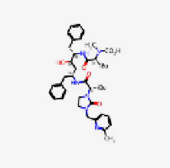 CCC(C)[C@@H](C(=O)N[C@@H](Cc1ccccc1)[C@H](O)C[C@H](Cc1ccccc1)NC(=O)[C@H](C(C)CC)N1CCN(Cc2cccc(C)n2)C1=O)N(C)C(=O)O